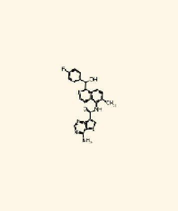 Cc1ccc2c(C(O)c3ccc(F)cc3)nccc2c1NC(=O)c1csc2c(N)ncnc12